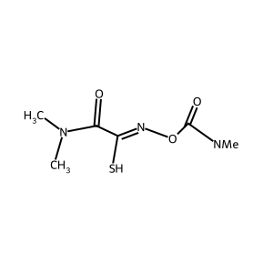 CNC(=O)ON=C(S)C(=O)N(C)C